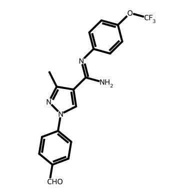 Cc1nn(-c2ccc(C=O)cc2)cc1C(N)=Nc1ccc(OC(F)(F)F)cc1